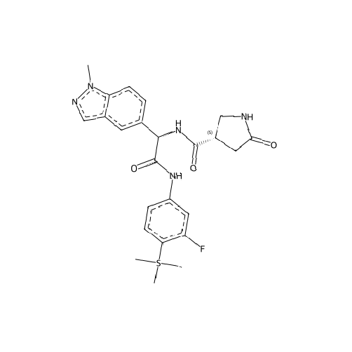 Cn1ncc2cc(C(NC(=O)[C@@H]3CNC(=O)C3)C(=O)Nc3ccc(S(C)(C)C)c(F)c3)ccc21